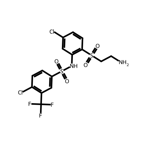 NCCS(=O)(=O)c1ccc(Cl)cc1NS(=O)(=O)c1ccc(Cl)c(C(F)(F)F)c1